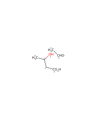 CC(O)CC(=O)O.C[C]=O